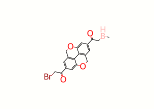 CBCC(=O)c1cc2c3c(c1)OCc1cc(C(=O)CBr)cc(c1-3)OC2